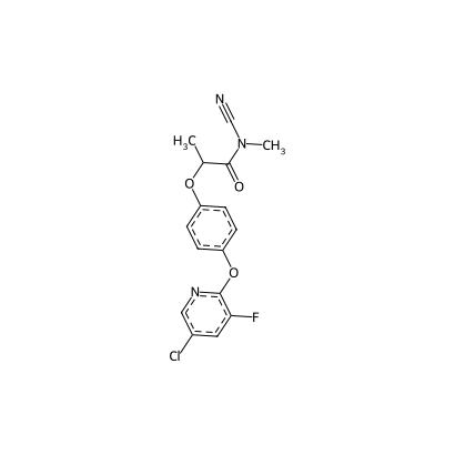 CC(Oc1ccc(Oc2ncc(Cl)cc2F)cc1)C(=O)N(C)C#N